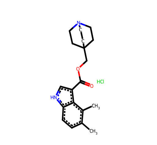 Cc1ccc2[nH]cc(C(=O)OCC34CCN(CC3)CC4)c2c1C.Cl